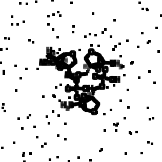 BC1O[C@@]2(COP(=O)(O)OC3C4OC[C@]3(COC)OC4B)COC1C2OP(=O)(O)OCC12COC(C(B)O1)[C@H]2OC